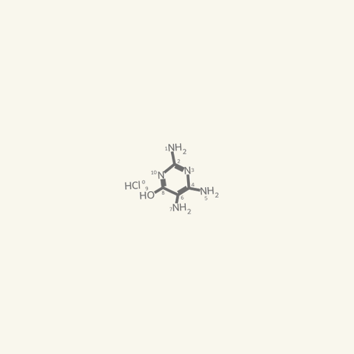 Cl.Nc1nc(N)c(N)c(O)n1